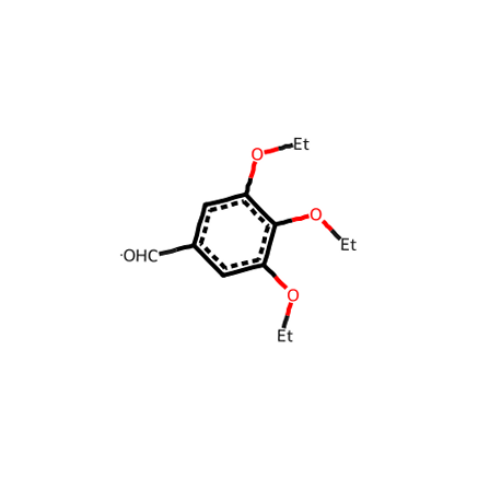 CCOc1cc([C]=O)cc(OCC)c1OCC